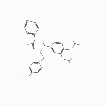 Cl.NC(=O)[C@@H](N[C@H](CCc1ccc(C(F)(F)F)cc1)c1ccc(OC(F)F)c(OC(F)F)c1)c1ccccc1